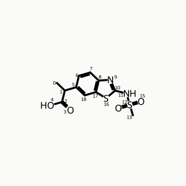 CC(C(=O)O)c1ccc2nc(NS(C)(=O)=O)sc2c1